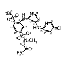 CN(OC(=O)C(F)(F)F)S(=O)(=O)c1ccc(S(=O)(=O)C(C)(C)C)c(Nc2cc(Nc3ccc(Cl)cn3)ncn2)c1